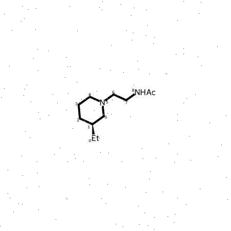 CC[C@H]1CCCN(CCNC(C)=O)C1